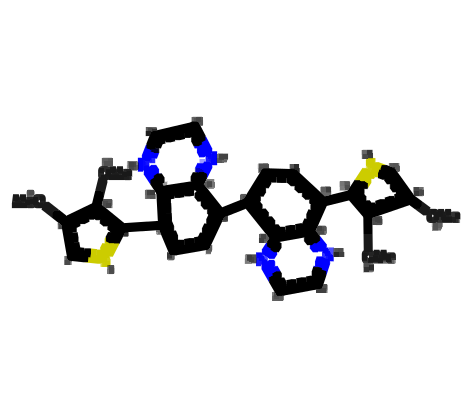 COc1csc(-c2ccc(-c3ccc(-c4scc(OC)c4OC)c4nccnc34)c3nccnc23)c1OC